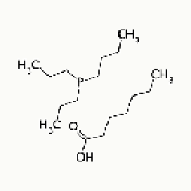 CCCCCCC(=O)O.CCCCP(CCC)CCC